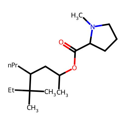 CCCC(CC(C)OC(=O)C1CCCN1C)C(C)(C)CC